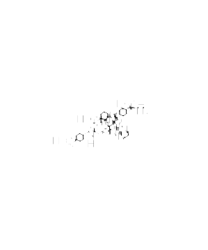 COc1ccc(CNC(=O)CCOc2nc(-c3ncccn3)nc(NS(=O)(=O)c3ccc(C(C)(C)C)cc3)c2Oc2ccccc2OC)cc1